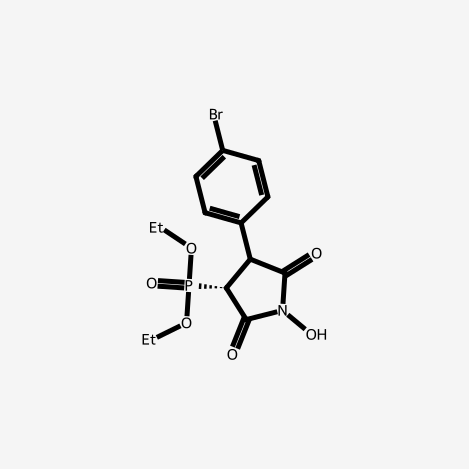 CCOP(=O)(OCC)[C@H]1C(=O)N(O)C(=O)C1c1ccc(Br)cc1